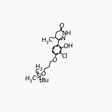 CC1CC(=O)NN=C1c1ccc(OCCCO[Si](C)(C)C(C)(C)C)c(Cl)c1O